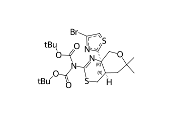 CC(C)(C)OC(=O)N(C(=O)OC(C)(C)C)C1=N[C@@]2(c3nc(Br)cs3)COC(C)(C)C[C@H]2CS1